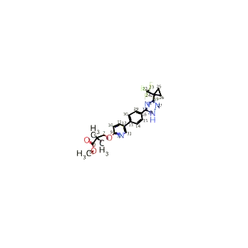 COC(=O)C(C)(C)COc1ccc(-c2ccc(-c3nc(C4(C(F)(F)F)CC4)n[nH]3)cc2)cn1